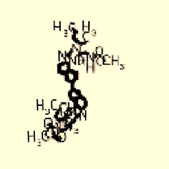 CCCC(CC)N(Cc1nc2ccc3cc(-c4ccc5c(ccc6nc(CN(CC7(C)OCCO7)C(=O)C(C=C(C)C)NC(=O)OC)[nH]c65)c4)ccc3c2[nH]1)C(=O)CNC(=O)OC